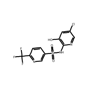 O=S(=O)(Nc1ncc(Cl)cc1O)c1ccc(C(F)(F)F)nc1